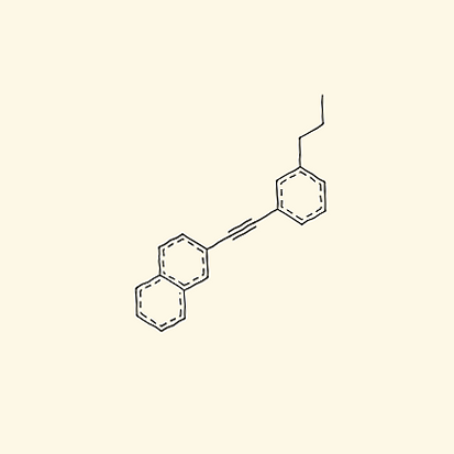 CCCc1cccc(C#Cc2ccc3ccccc3c2)c1